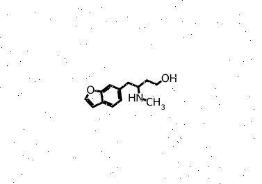 CNC(CCO)Cc1ccc2ccoc2c1